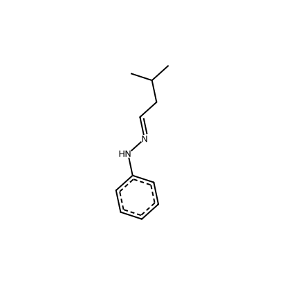 CC(C)CC=NNc1ccccc1